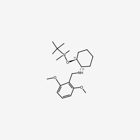 COc1cccc(OC)c1CN[C@H]1CCCC[C@@H]1O[Si](C)(C)C(C)(C)C